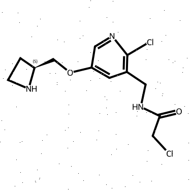 O=C(CCl)NCc1cc(OC[C@@H]2CCN2)cnc1Cl